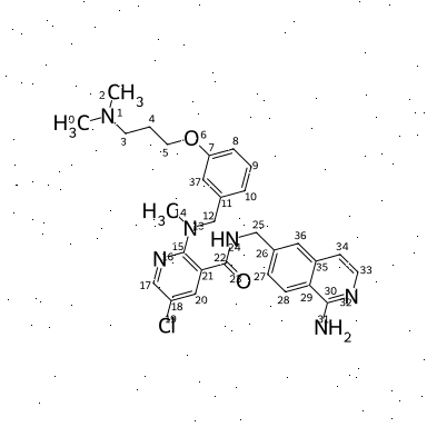 CN(C)CCCOc1cccc(CN(C)c2ncc(Cl)cc2C(=O)NCc2ccc3c(N)nccc3c2)c1